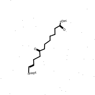 CCCCCCCC=CCCC(=O)CCCCCCC(=O)CCCCCCCCCC